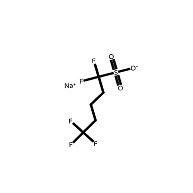 O=S(=O)([O-])C(F)(F)CCCC(F)(F)F.[Na+]